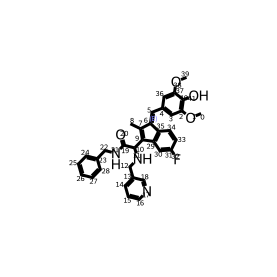 COc1cc(/C=C2/C(C)=C(C(NCc3cccnc3)C(=O)NCc3ccccc3)c3cc(F)ccc32)cc(OC)c1O